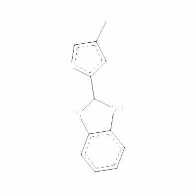 Cc1csc(C2Nc3ccccc3N2)c1